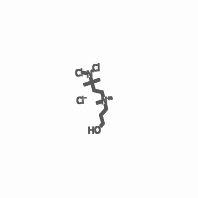 CC(C)(CC[N+](C)(C)CCCO)N(Cl)Cl.[Cl-]